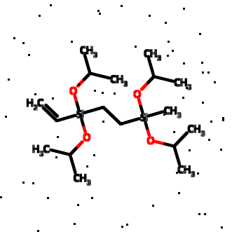 C=C[Si](CC[Si](C)(OC(C)C)OC(C)C)(OC(C)C)OC(C)C